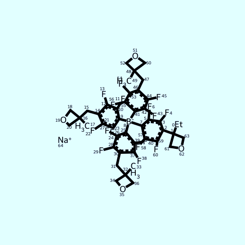 CCC1(c2c(F)c(F)c([B-](c3c(F)c(F)c(CC4(C)COC4)c(F)c3F)(c3c(F)c(F)c(CC4(C)COC4)c(F)c3F)c3c(F)c(F)c(CC4(C)COC4)c(F)c3F)c(F)c2F)COC1.[Na+]